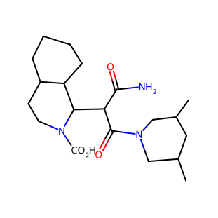 CC1CC(C)CN(C(=O)C(C(N)=O)C2C3CCCCC3CCN2C(=O)O)C1